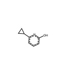 Oc1cccc(C2CC2)n1